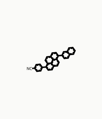 N#Cc1ccc(-c2ccc3ccc4c(-c5ccc6ccccc6c5)ccc5ccc2c3c54)cc1